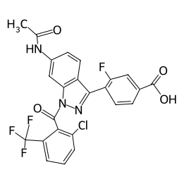 CC(=O)Nc1ccc2c(-c3ccc(C(=O)O)cc3F)nn(C(=O)c3c(Cl)cccc3C(F)(F)F)c2c1